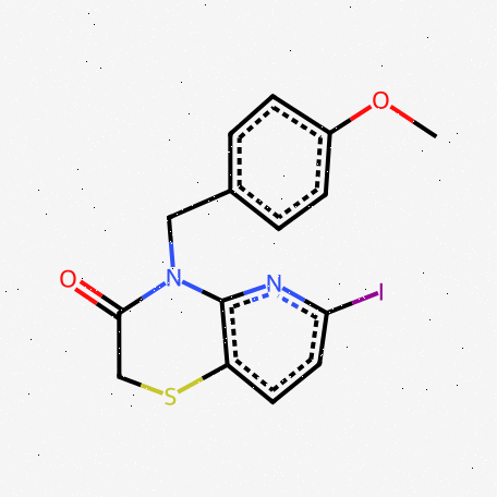 COc1ccc(CN2C(=O)CSc3ccc(I)nc32)cc1